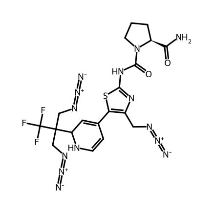 [N-]=[N+]=NCc1nc(NC(=O)N2CCC[C@H]2C(N)=O)sc1C1=CC(C(CN=[N+]=[N-])(CN=[N+]=[N-])C(F)(F)F)NC=C1